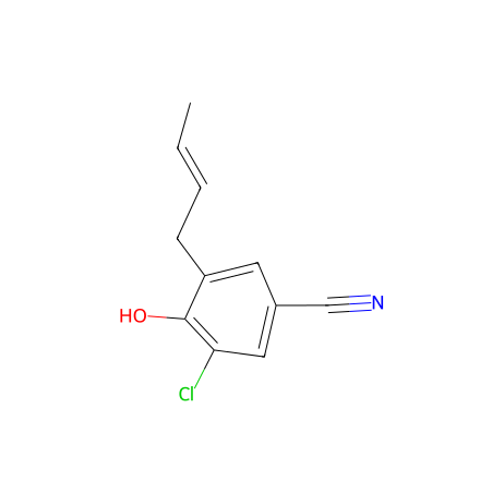 CC=CCc1cc(C#N)cc(Cl)c1O